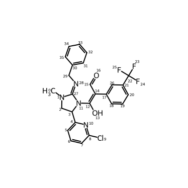 CN1CC(c2cccc(Cl)n2)N(/C(O)=C(\C=O)c2cccc(C(F)(F)F)c2)/C1=N/Cc1ccccc1